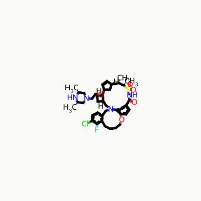 C[C@@H]1[C@@H](C)S(=O)(=O)NC(=O)c2ccc3c(c2)N(Cc2ccc(Cl)c(F)c2CCCCO3)C[C@@H]2CC[C@H]2C2(OCCN3C[C@@H](C)N[C@@H](C)C3)C=C[C@H]1C2